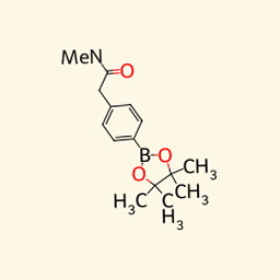 CNC(=O)Cc1ccc(B2OC(C)(C)C(C)(C)O2)cc1